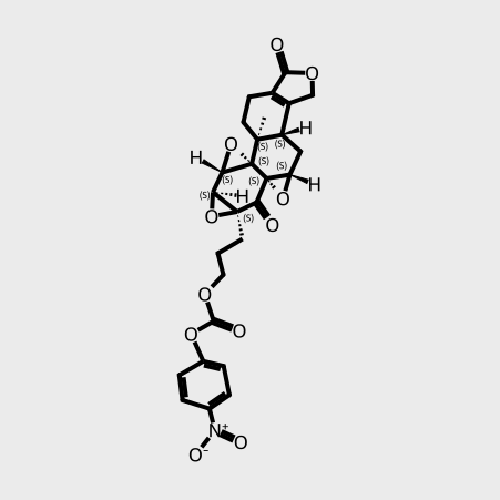 C[C@]12CCC3=C(COC3=O)[C@@H]1C[C@@H]1O[C@@]13C(=O)[C@@]1(CCCOC(=O)Oc4ccc([N+](=O)[O-])cc4)O[C@H]1[C@@H]1O[C@]123